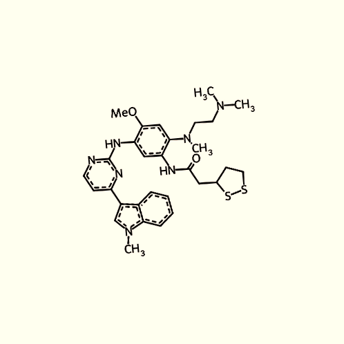 COc1cc(N(C)CCN(C)C)c(NC(=O)CC2CCSS2)cc1Nc1nccc(-c2cn(C)c3ccccc23)n1